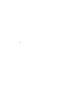 CCCCC(C)(C)C(O)/C=C/[C@@H]1CC(=O)CC1O